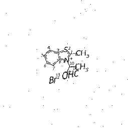 Cc1sc2ccccc2[n+]1C(C)C=O.[Br-]